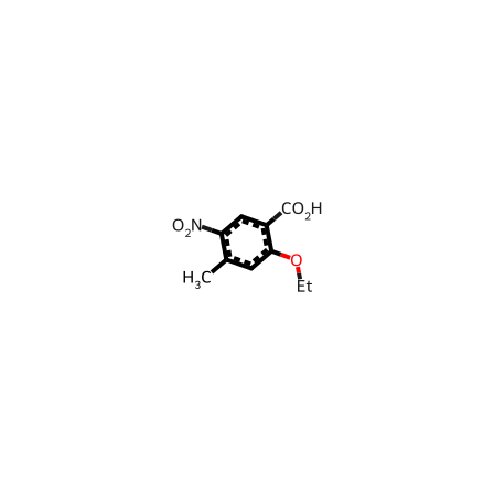 CCOc1cc(C)c([N+](=O)[O-])cc1C(=O)O